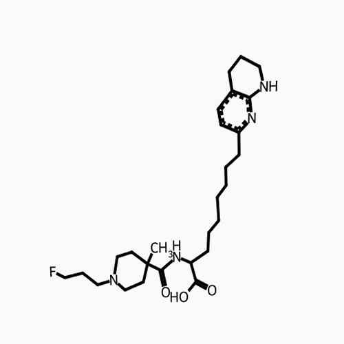 CC1(C(=O)NC(CCCCCCCc2ccc3c(n2)NCCC3)C(=O)O)CCN(CCCF)CC1